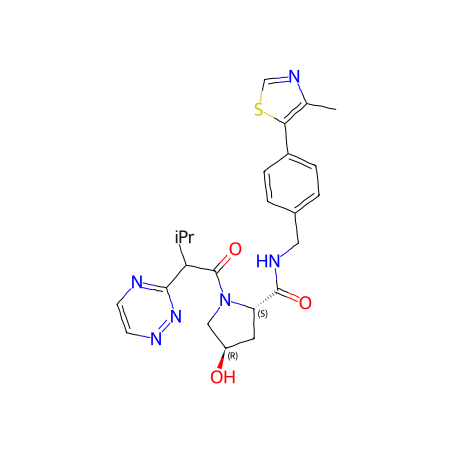 Cc1ncsc1-c1ccc(CNC(=O)[C@@H]2C[C@@H](O)CN2C(=O)C(c2nccnn2)C(C)C)cc1